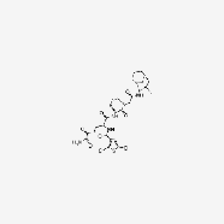 CC1CC2CCCC(C2)C1NC(=O)Cn1cccc(NC(=O)[C@H](CCC(=O)C(N)=O)NC(=O)c2cc(Cl)sc2Cl)c1=O